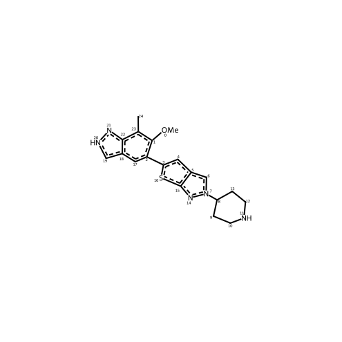 COc1c(-c2cc3cn(C4CCNCC4)nc3s2)cc2c[nH]nc2c1C